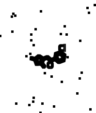 CC1=CC(C)=C(CC(=O)c2cccc(Cl)c2)C1